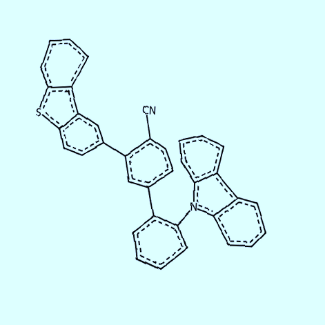 N#Cc1ccc(-c2ccccc2-n2c3ccccc3c3ccccc32)cc1-c1ccc2sc3ccccc3c2c1